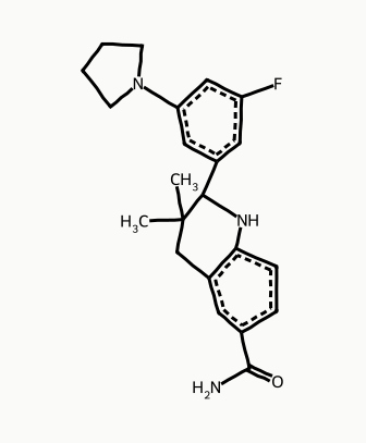 CC1(C)Cc2cc(C(N)=O)ccc2NC1c1cc(F)cc(N2CCCC2)c1